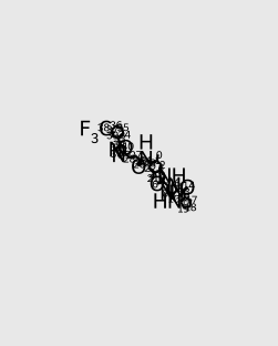 Cc1cc(NC(=O)c2nc3[nH]c4c(c(=O)n3n2)CCC4)c(C)cc1NC(=O)CCc1nnc(-c2cccc(C(F)(F)F)c2)o1